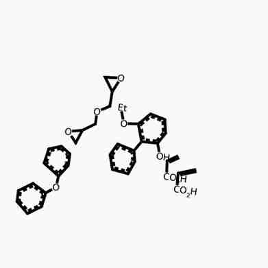 C(OCC1CO1)C1CO1.C=CC(=O)O.C=CC(=O)O.CCOc1cccc(O)c1-c1ccccc1.c1ccc(Oc2ccccc2)cc1